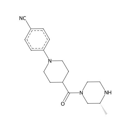 C[C@@H]1CN(C(=O)C2CCN(c3ccc(C#N)cc3)CC2)CCN1